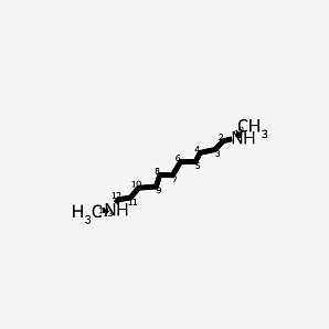 CNCCCCCCCCCCCNC